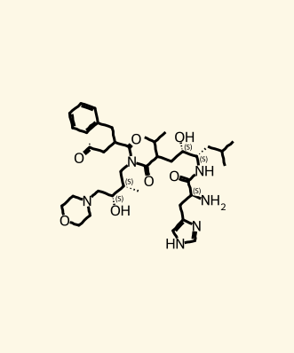 CC(C)C[C@H](NC(=O)[C@@H](N)Cc1c[nH]cn1)[C@@H](O)CC(C(=O)N(C[C@H](C)[C@H](O)CN1CCOCC1)C(=O)C(C[C]=O)Cc1ccccc1)C(C)C